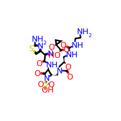 NCCNC(=O)NC[C@@H]1CN(C[C@H]2[C@H](NC(=O)C(=NOC3(C(=O)O)CC3)c3csc(N)n3)C(=O)N2S(=O)(=O)O)C(=O)O1